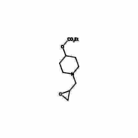 CCOC(=O)OC1CCN(CC2CO2)CC1